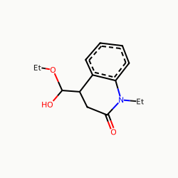 CCOC(O)C1CC(=O)N(CC)c2ccccc21